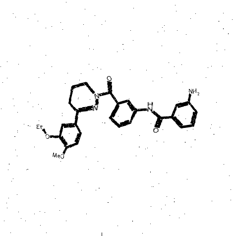 CCOc1cc(C2=NN(C(=O)c3cccc(NC(=O)c4cccc(N)c4)c3)CCC2)ccc1OC